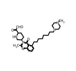 Cc1nc2cccc(CCCCCCCCN3CCN(C)CC3)c2c(=O)n1C1CCC(C(=O)C=O)NC1